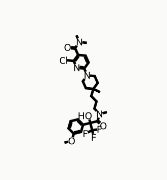 COc1cccc(C(O)(C(=O)N(C)CCCC2(C)CCN(c3ccc(C(=O)N(C)C)c(Cl)n3)CC2)C(F)(F)F)c1